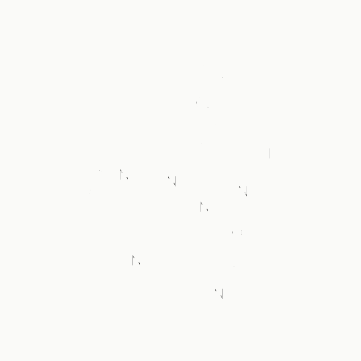 C=CC(=O)N1CCN(c2nc(OC[C@@H]3CCCN3C)nc3c(F)c(-c4cccc5c4C4CC4C5)c(Cl)cc23)C[C@@H]1CC#N